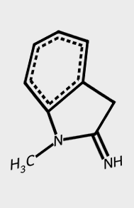 CN1C(=N)Cc2ccccc21